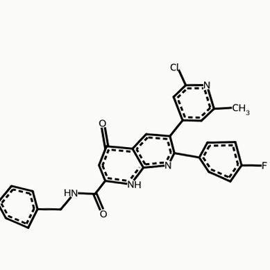 Cc1cc(-c2cc3c(=O)cc(C(=O)NCc4ccccc4)[nH]c3nc2-c2ccc(F)cc2)cc(Cl)n1